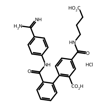 Cl.N=C(N)c1ccc(NC(=O)c2ccccc2-c2ccc(C(=O)NCCCC(=O)O)cc2C(=O)O)cc1